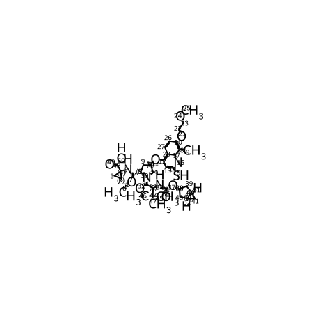 CC[C@@H]1C[C@]1(NC(=O)[C@@H]1C[C@@H](Oc2cc(S)nc3c(C)c(OCCOC)ccc23)CN1C(=O)[C@@H](NC(=O)O[C@@H]1C[C@@H]2C[C@@H]2C1)C(C)(C)C)C(=O)O